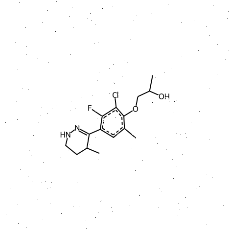 Cc1cc(C2=NNCCC2C)c(F)c(Cl)c1OCC(C)O